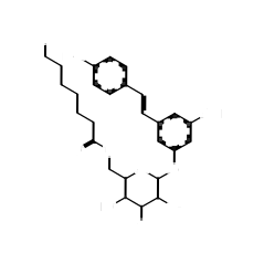 CCCCCCCC(=O)OCC1OC(Oc2cc(O)cc(/C=C/c3ccc(O)cc3)c2)C(O)C(O)C1O